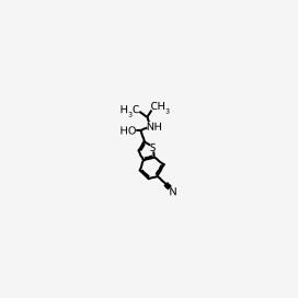 CC(C)NC(O)c1cc2ccc(C#N)cc2s1